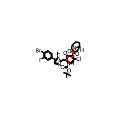 C[C@H](NC(=O)OC(C)(C)C)C(=O)O[C@@H]1CC2CC[C@H](C1)N2S(=O)(=O)c1cc(-c2ncc(-c3ccc(Br)c(F)c3)[nH]2)ccc1Cl